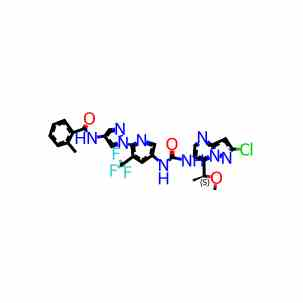 CO[C@@H](C)c1c(NC(=O)Nc2cnc(-n3cc(NC(=O)c4ccccc4C)cn3)c(C(F)(F)F)c2)cnc2cc(Cl)nn12